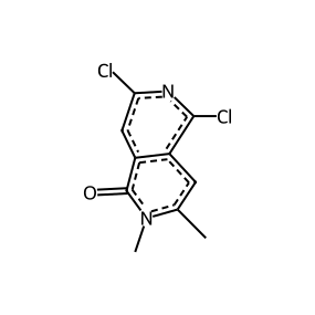 Cc1cc2c(Cl)nc(Cl)cc2c(=O)n1C